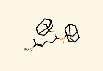 CC(=CCCC(PC12CC3CC(CC(C3)C1)C2)PC12CC3CC(CC(C3)C1)C2)C(=O)O